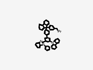 CC(C)Cc1ccc(C2(c3ccc(-c4cc(-c5nc6ccccc6n5-c5ccccc5)cc(-n5c6ccccc6c6ccccc65)c4)cc3)c3ccccc3-c3ccccc32)cc1